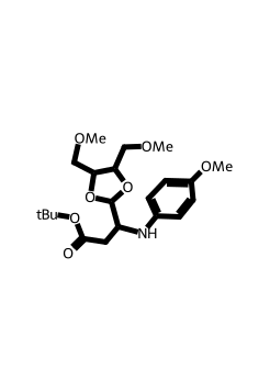 COCC1OC(C(CC(=O)OC(C)(C)C)Nc2ccc(OC)cc2)OC1COC